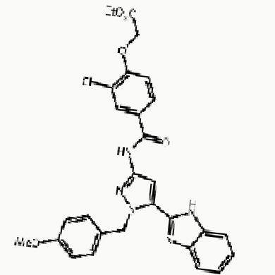 CCOC(=O)COc1ccc(C(=O)Nc2cc(-c3nc4ccccc4[nH]3)n(Cc3ccc(OC)cc3)n2)cc1Cl